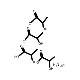 CC(O)C(=O)O.CC(O)C(=O)[O-].CC(O)C(=O)[O-].CC(O)C(=O)[O-].N.[Al+3]